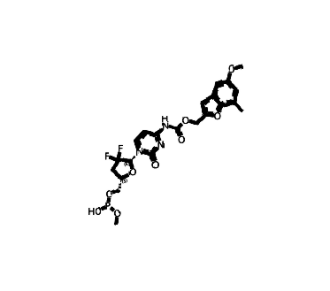 COc1cc(C)c2oc(COC(=O)Nc3ccn([C@@H]4O[C@H](COP(O)OC)CC4(F)F)c(=O)n3)cc2c1